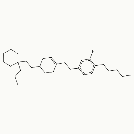 CCCCCc1ccc(CCC2=CCC(CCC3(CCC)CCCCC3)CC2)cc1F